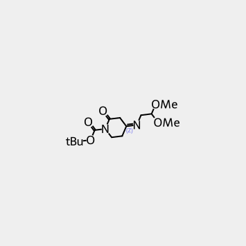 COC(C/N=C1/CCN(C(=O)OC(C)(C)C)C(=O)C1)OC